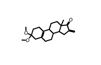 C=C1CC2C3CCC4=C(CCC(OC)(OC)C4)C3CCC2(C)C1=O